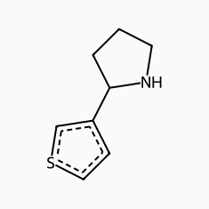 c1cc(C2CCCN2)cs1